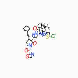 CC(C)(C)C(=O)n1nc(-c2c(C#Cc3ccccc3)ccn(CC(=O)c3ncco3)c2=O)cc1NCc1ccc(Cl)s1